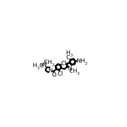 Cc1cc(N)cc2c1cc(Cc1c(Cl)ccc(C(=O)N3CCC(N(C)C)C3)c1Cl)n2C